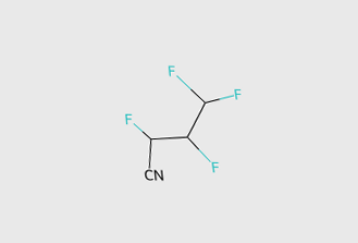 N#CC(F)C(F)C(F)F